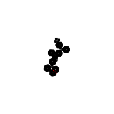 C[Si](C)(C)c1ccc(N(c2ccccc2)c2ccc3c(c2)c2ccccc2c2c4ccc(N(c5ccccc5)c5ccccc5-c5ccccc5)cc4sc32)cc1